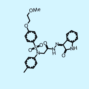 COCCOc1ccc(S(=O)(=O)N(CC(=O)N/N=C2\C(=O)Nc3ccccc32)c2ccc(C)cc2)cc1